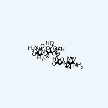 COC1C(OP(=O)(S)OC[C@H]2O[C@@H](n3cnc4c(N)ncnc43)CC2O)[C@@H](CO)O[C@H]1n1ccc(=O)n(C)c1=O